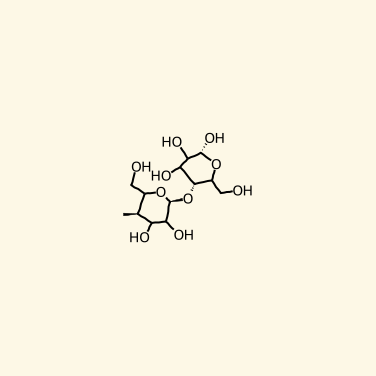 C[C@H]1C(CO)O[C@@H](O[C@H]2C(CO)O[C@@H](O)C(O)C2O)C(O)C1O